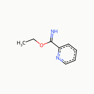 CCOC(=N)c1ccccn1